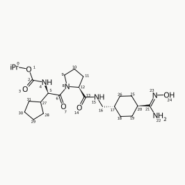 CC(C)OC(=O)N[C@@H](C(=O)N1CCC[C@H]1C(=O)NC[C@H]1CC[C@H](C(N)=NO)CC1)C1CCCC1